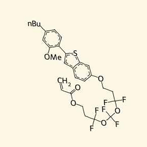 C=CC(=O)OCCC(F)(F)OC(F)(F)OC(F)(F)CCOc1ccc2cc(-c3ccc(CCCC)cc3OC)sc2c1